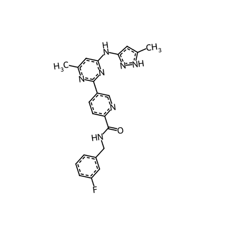 Cc1cc(Nc2cc(C)[nH]n2)nc(-c2ccc(C(=O)NCc3cccc(F)c3)nc2)n1